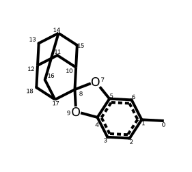 Cc1ccc2c(c1)OC1(O2)C2CC3CC(C2)CC1C3